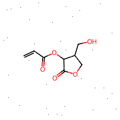 C=CC(=O)OC1C(=O)OCC1CO